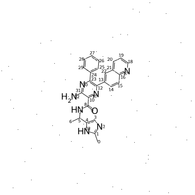 Cc1ncc(C(C)NC(=O)c2nc(-c3ccc4ncccc4c3)c(-c3ccccc3)nc2N)[nH]1